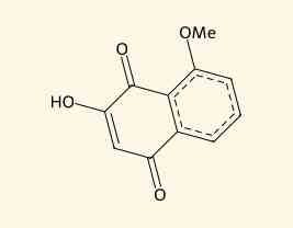 COc1cccc2c1C(=O)C(O)=CC2=O